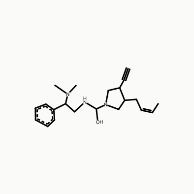 C#CC1CN(C(O)NCC(c2ccccc2)N(C)C)CC1C/C=C\C